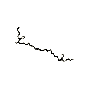 CCCOC(=O)CCCCCCCCCCCCCCCCCC(C)C(=O)OCCC